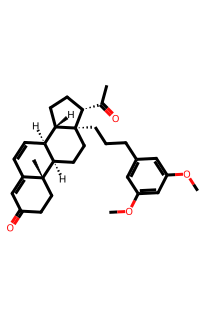 COc1cc(CCC[C@]23CC[C@@H]4[C@@H](C=CC5=CC(=O)CC[C@]54C)[C@@H]2CC[C@@H]3C(C)=O)cc(OC)c1